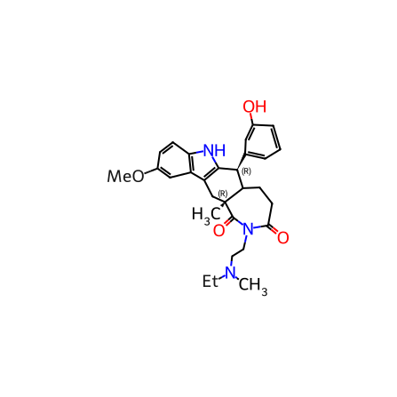 CCN(C)CCN1C(=O)CCC2[C@H](c3cccc(O)c3)c3[nH]c4ccc(OC)cc4c3C[C@@]2(C)C1=O